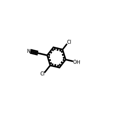 N#Cc1cc(Cl)c(O)cc1Cl